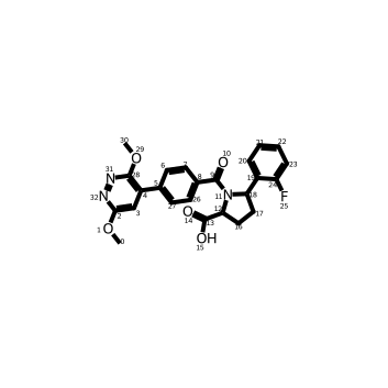 COc1cc(-c2ccc(C(=O)N3C(C(=O)O)CCC3c3ccccc3F)cc2)c(OC)nn1